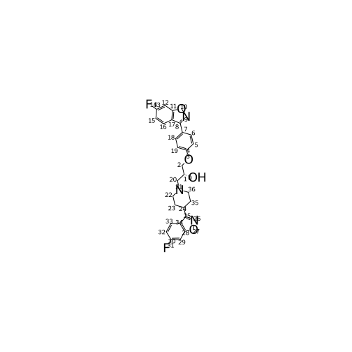 O[C@@H](COc1ccc(-c2noc3cc(F)ccc23)cc1)CN1CCC(c2noc3cc(F)ccc23)CC1